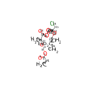 C=CC(=O)OCC.C=CC(=O)OCCOCC(=C)C(=O)OCCCC.C=COC(=O)CCl